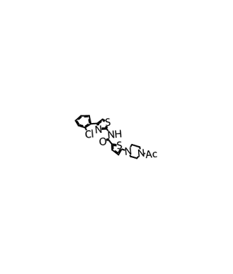 CC(=O)N1CCN(c2ccc(C(=O)Nc3nc(-c4ccccc4Cl)cs3)s2)CC1